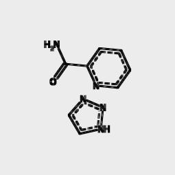 NC(=O)c1ccccn1.c1c[nH]nn1